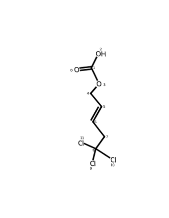 O=C(O)OCC=CCC(Cl)(Cl)Cl